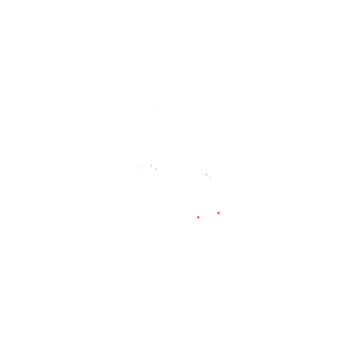 PP(c1ccccc1)c1ccccc1-c1ccc(-c2cccc(-c3ccccc3P(c3ccccc3)c3ccccc3)n2)[nH]1